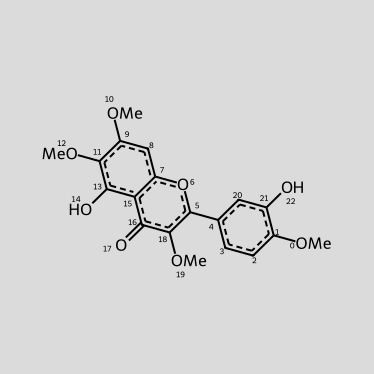 COc1ccc(-c2oc3cc(OC)c(OC)c(O)c3c(=O)c2OC)cc1O